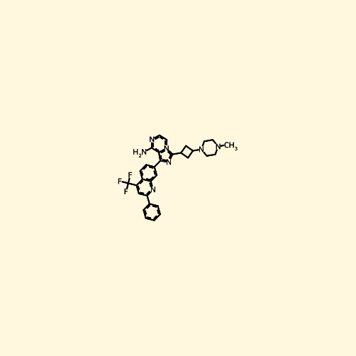 CN1CCN(C2CC(c3nc(-c4ccc5c(C(F)(F)F)cc(-c6ccccc6)nc5c4)c4c(N)nccn34)C2)CC1